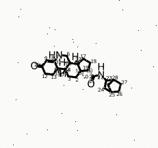 C[C@]12CC[C@H]3[C@@H](CNC4=CC(=O)CC[C@@]43C)[C@@H]1CC[C@@H]2C(=O)NC1CC2CCC1C2